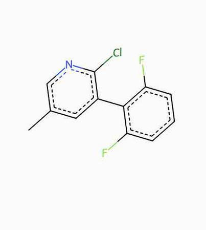 Cc1cnc(Cl)c(-c2c(F)cccc2F)c1